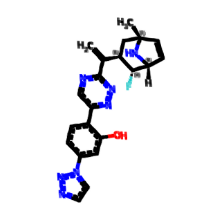 C=C(c1ncc(-c2ccc(-n3ccnn3)cc2O)nn1)[C@H]1C[C@]2(C)C=C[C@@H](N2)[C@@H]1F